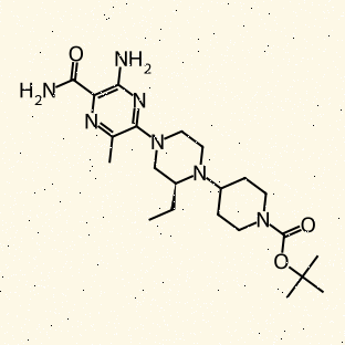 CC[C@H]1CN(c2nc(N)c(C(N)=O)nc2C)CCN1C1CCN(C(=O)OC(C)(C)C)CC1